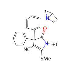 C1CN2CC12.CCN1C(=O)C(c2ccccc2)(c2ccccc2)C(C#N)=C1SC